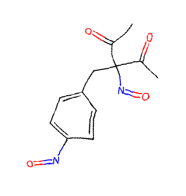 CC(=O)C(Cc1ccc(N=O)cc1)(N=O)C(C)=O